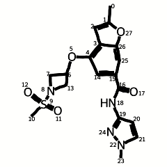 Cc1cc2c(OC3CN(S(C)(=O)=O)C3)cc(C(=O)Nc3ccn(C)n3)cc2o1